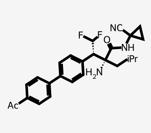 CC(=O)c1ccc(-c2ccc([C@H](C(F)F)[C@](N)(CC(C)C)C(=O)NC3(C#N)CC3)cc2)cc1